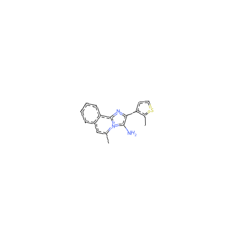 Cc1sccc1-c1nc2c3ccccc3cc(C)n2c1N